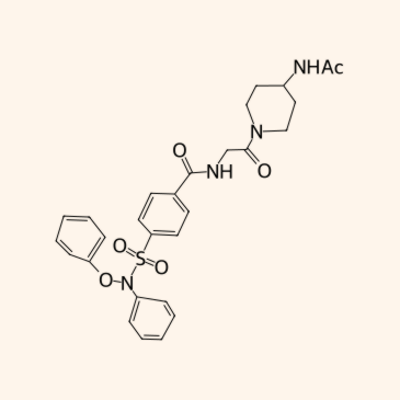 CC(=O)NC1CCN(C(=O)CNC(=O)c2ccc(S(=O)(=O)N(Oc3ccccc3)c3ccccc3)cc2)CC1